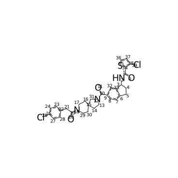 O=C(NC1CCc2ccc(C(=O)N3CCC4(CCN(C(=O)Cc5ccc(Cl)cc5)CC4)C3)cc21)c1sccc1Cl